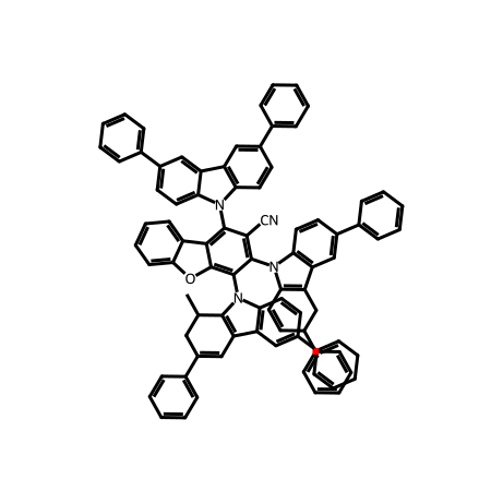 CC1CC(c2ccccc2)=Cc2c1n(-c1c(-n3c4c(c5cc(-c6ccccc6)ccc53)CC(c3ccccc3)C=C4)c(C#N)c(-n3c4ccc(-c5ccccc5)cc4c4cc(-c5ccccc5)ccc43)c3c1oc1ccccc13)c1ccc(C3=CCCC=C3)cc21